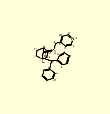 c1ccc(C(c2ccccc2)C2/C(=N/Cc3ccncc3)C3CCN2CC3)cc1